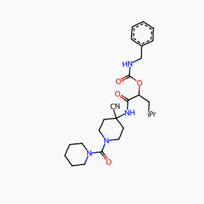 CC(C)CC(OC(=O)NCc1ccccc1)C(=O)NC1(C#N)CCN(C(=O)N2CCCCC2)CC1